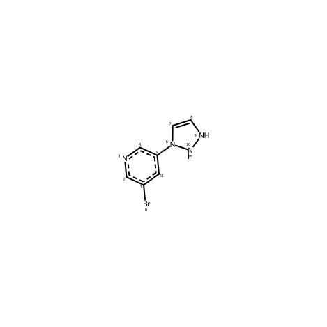 Brc1cncc(N2C=CNN2)c1